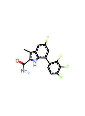 Cc1c(C(N)=O)[nH]c2c(-c3ccc(F)c(F)c3F)cc(F)cc12